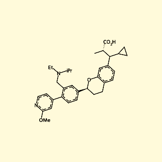 CCN(Cc1cc([C@@H]2CCc3ccc(C(C4CC4)[C@H](C)C(=O)O)cc3O2)ccc1-c1ccnc(OC)c1)C(C)C